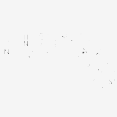 O=C(NC1CNC1)c1ccc(OC2CCN(C(=O)CC3CCOCC3)CC2)cc1